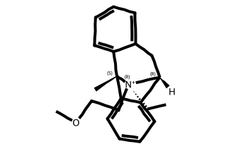 CC[N@@+]1(CCOC)[C@@H]2Cc3ccccc3[C@@]1(C)c1ccccc12